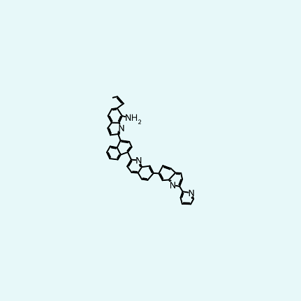 C/C=C\c1ccc2ccc(-c3ccc(-c4ccc5ccc(-c6ccc7ccc(-c8ccccn8)nc7c6)cc5n4)c4ccccc34)nc2c1N